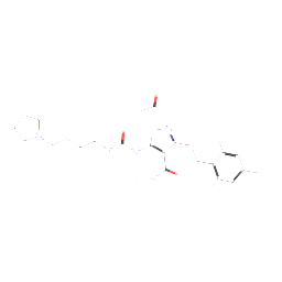 CC(=O)O.NC(=O)c1c(OCc2c(F)cc(Br)cc2F)nsc1NC(=O)NCCCCN1CCCC1